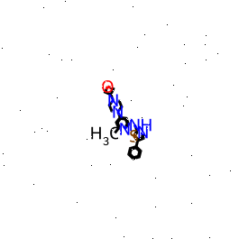 Cc1cc(N2CCN(C3COC3)CC2)cc(Nc2ncc(-c3ccccc3)s2)n1